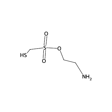 NCCOS(=O)(=O)CS